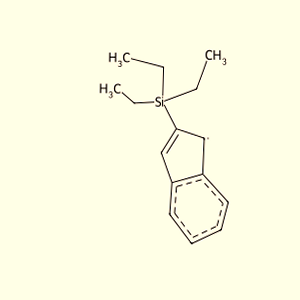 CC[Si](CC)(CC)C1=Cc2ccccc2[CH]1